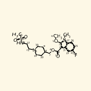 COc1c(C(=O)OCC2CCN(CCNS(C)(=O)=O)CC2)c2cc(F)ccc2n1C